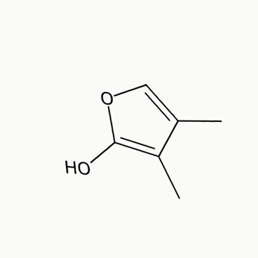 Cc1coc(O)c1C